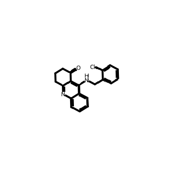 O=C1CCCc2nc3ccccc3c(NCc3ccccc3Cl)c21